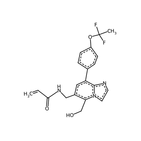 C=CC(=O)NCc1cc(-c2ccc(OC(C)(F)F)cc2)c2nccn2c1CO